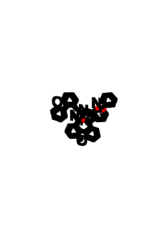 c1ccc(-c2nc(-c3cccc4oc5ccccc5c34)nc(-c3cccc4oc5cccc(-c6cccc(-c7nc8ccccc8s7)c6)c5c34)n2)cc1